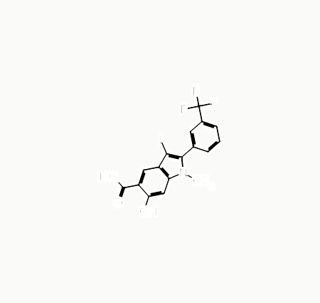 Cn1c(-c2cccc(C(F)(F)F)c2)c(I)c2cc(C(=O)O)c(O)cc21